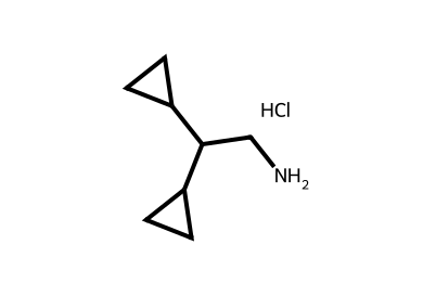 Cl.NCC(C1CC1)C1CC1